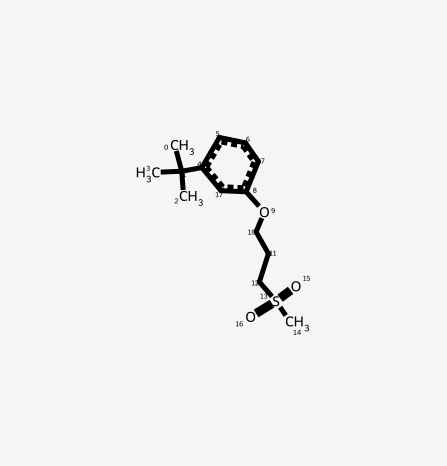 CC(C)(C)c1cccc(OCCCS(C)(=O)=O)c1